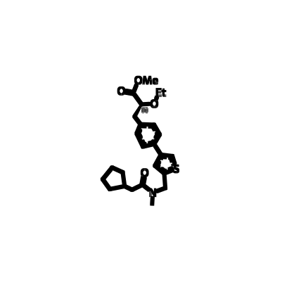 CCO[C@@H](Cc1ccc(-c2csc(CN(C)C(=O)CC3CCCC3)c2)cc1)C(=O)OC